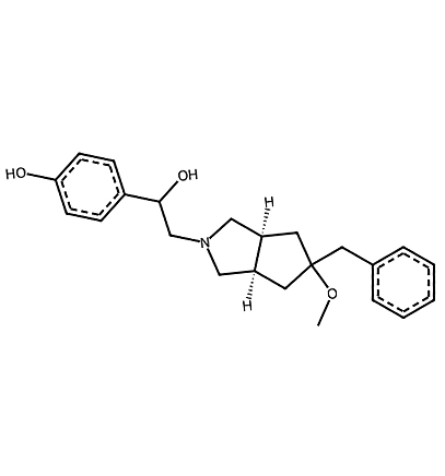 COC1(Cc2ccccc2)C[C@H]2CN(CC(O)c3ccc(O)cc3)C[C@H]2C1